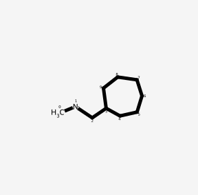 C[N]CC1CCCCCC1